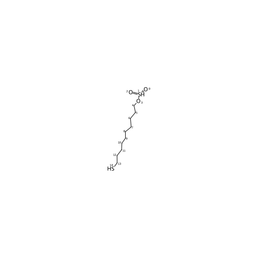 O=[SH](=O)OCCCCCCCCCCS